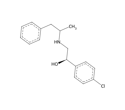 CC(Cc1ccccc1)NC[C@H](O)c1ccc(Cl)cc1